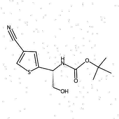 CC(C)(C)OC(=O)N[C@H](CO)c1cc(C#N)cs1